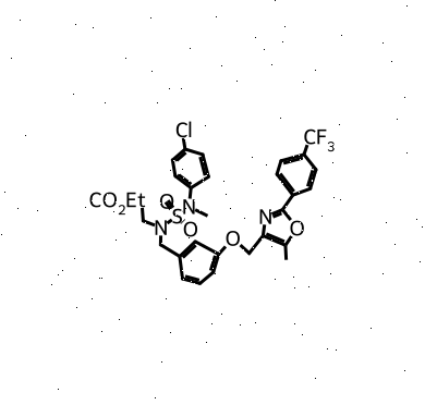 CCOC(=O)CN(Cc1cccc(OCc2nc(-c3ccc(C(F)(F)F)cc3)oc2C)c1)S(=O)(=O)N(C)c1ccc(Cl)cc1